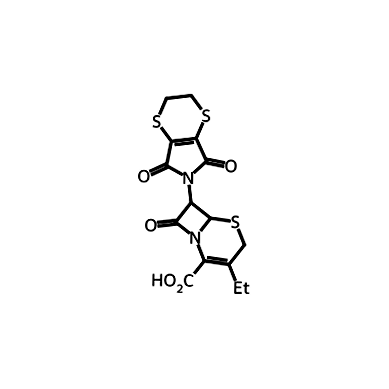 CCC1=C(C(=O)O)N2C(=O)C(N3C(=O)C4=C(SCCS4)C3=O)C2SC1